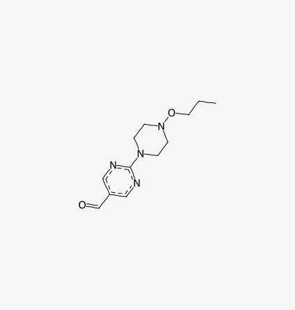 CCCON1CCN(c2ncc(C=O)cn2)CC1